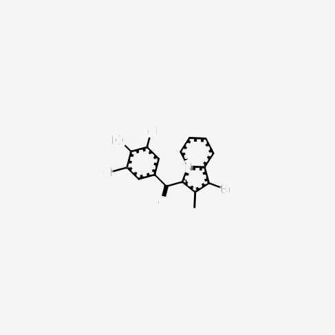 Cc1c(Br)c2ccccn2c1C(=O)c1cc(Cl)c(O)c(Cl)c1